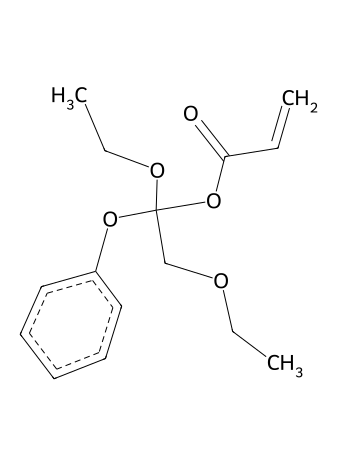 C=CC(=O)OC(COCC)(OCC)Oc1ccccc1